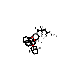 COC(=O)CC(C)(C)C(=O)N1CCC(CCN2[C@@H]3CC[C@H]2CC(n2c(C)nc4ccccc42)C3)(c2ccccc2)CC1